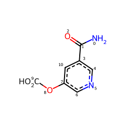 NC(=O)c1cncc(OC(=O)O)c1